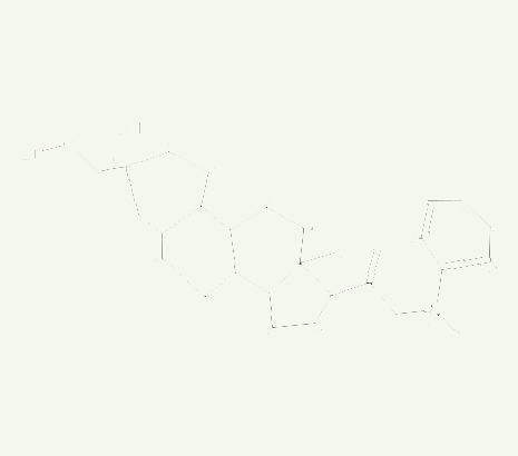 CCOC[C@@]1(O)CCC2C(CCC3C2CCC2(C)C(C(=O)CN(C)c4ccccc4)CCC32)C1